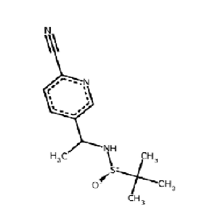 CC(N[S@+]([O-])C(C)(C)C)c1ccc(C#N)nc1